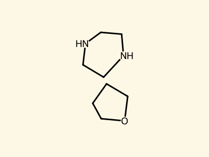 C1CCOC1.C1CNCCN1